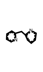 [c]1cccc(Cc2ccccn2)n1